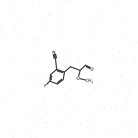 COC(C=O)Cc1c[c]c(F)cc1C#N